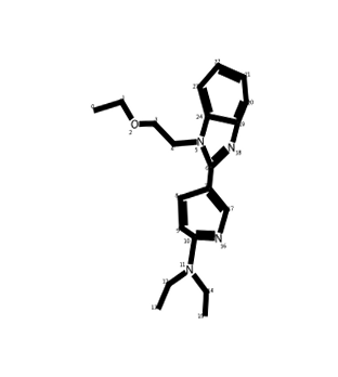 CCOCCn1c(-c2ccc(N(CC)CC)nc2)nc2ccccc21